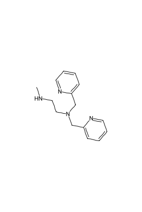 CNCCN(Cc1ccccn1)Cc1ccccn1